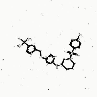 CC(C)(C)c1cnc(CSc2cnc(N[C@@H]3CCCN(S(=O)(=O)c4ccc(N)cc4)C3)s2)o1